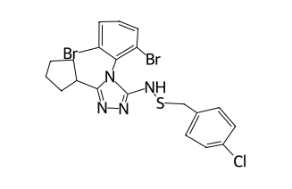 Clc1ccc(CSNc2nnc(C3CCCC3)n2-c2c(Br)cccc2Br)cc1